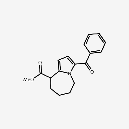 COC(=O)C1CCCCn2c(C(=O)c3ccccc3)ccc21